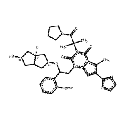 COc1ccccc1C(Cn1c(=O)n(C(C)(C)C(=O)N2CCCC2)c(=O)c2c(C)c(-c3ncco3)sc21)O[C@H]1CC2C[C@@H](O)C[C@H]2C1